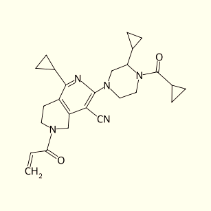 C=CC(=O)N1CCc2c(C3CC3)nc(N3CCN(C(=O)C4CC4)C(C4CC4)C3)c(C#N)c2C1